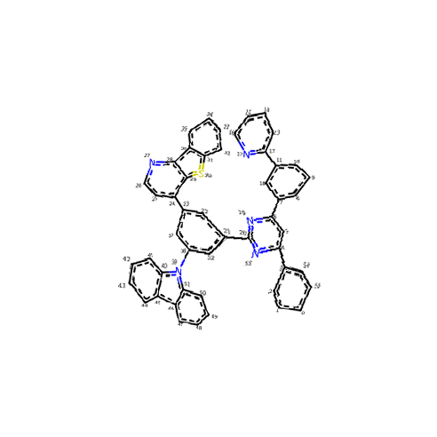 c1ccc(-c2cc(-c3cccc(-c4ccccn4)c3)nc(-c3cc(-c4ccnc5c4sc4ccccc45)cc(-n4c5ccccc5c5ccccc54)c3)n2)cc1